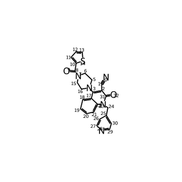 N#Cc1c(N2CCN(C(=O)c3cccs3)CC2)c2ccccc2n(Cc2ccncc2)c1=O